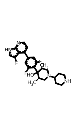 C[C@@H]1CN(C2CCNCC2)C[C@H](C)C1(O)c1c(F)cc(-c2ccnc3[nH]cc(F)c23)cc1F